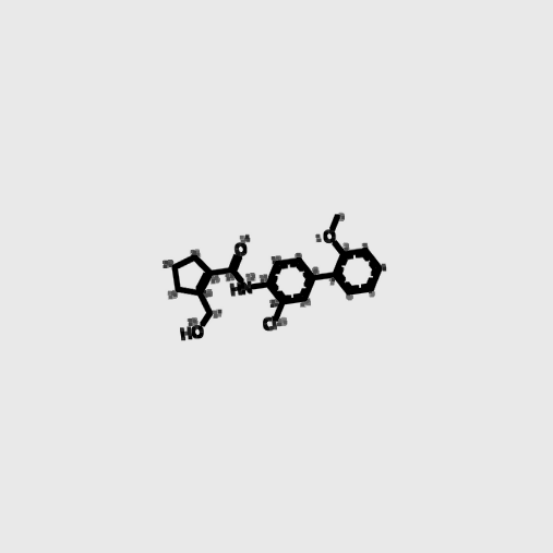 COc1ccccc1-c1ccc(NC(=O)C2=C(CO)CCC2)c(Cl)c1